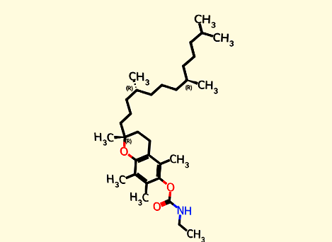 CCNC(=O)Oc1c(C)c(C)c2c(c1C)CC[C@@](C)(CCC[C@H](C)CCC[C@H](C)CCCC(C)C)O2